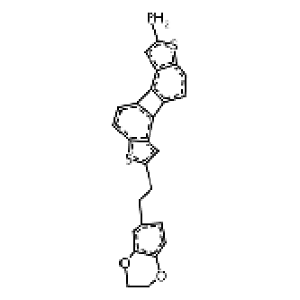 Pc1cc2c3c(ccc2s1)-c1c-3ccc2sc(CCc3ccc4c(c3)OCCO4)cc12